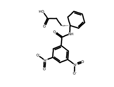 O=C(O)CC[C@@]1(NC(=O)c2cc([N+](=O)[O-])cc([N+](=O)[O-])c2)C=CC=CC1